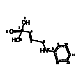 O=P(O)(O)C=CCNc1ccccc1